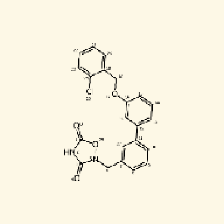 O=c1[nH]c(=O)n(Cc2cccc(-c3cccc(OCc4ccccc4Cl)c3)c2)o1